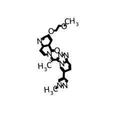 COCCOC1=CC2C(=O)N([C@H](C)c3nnc4ccc(-c5cnn(C)c5)cn34)C=CC2N=C1